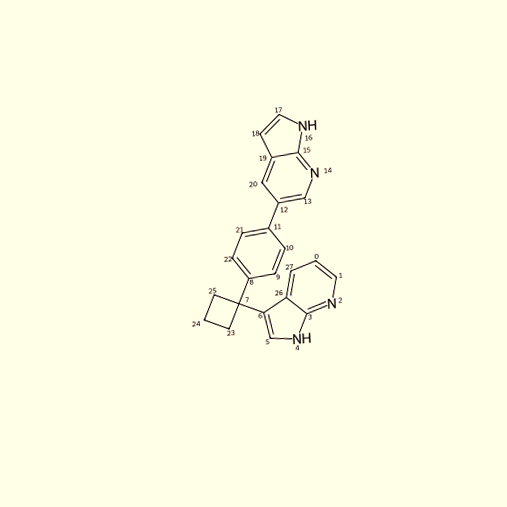 c1cnc2[nH]cc(C3(c4ccc(-c5cnc6[nH]ccc6c5)cc4)CCC3)c2c1